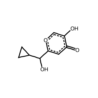 O=c1cc(C(O)C2CC2)occ1O